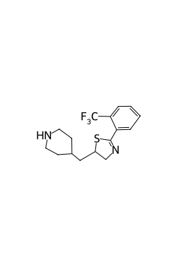 FC(F)(F)c1ccccc1C1=NCC(CC2CCNCC2)S1